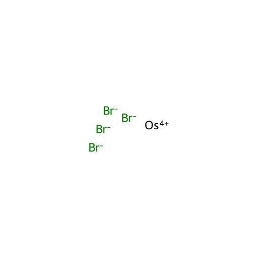 [Br-].[Br-].[Br-].[Br-].[Os+4]